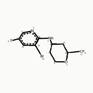 Fc1cnc(NC2CCOC(C(F)(F)F)C2)c(Br)c1